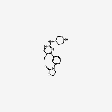 O=C1OCCN1c1cccc(-c2nc(NC3CCNCC3)ncc2F)c1